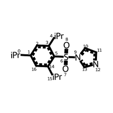 CC(C)c1cc(C(C)C)c(S(=O)(=O)n2ccnc2)c(C(C)C)c1